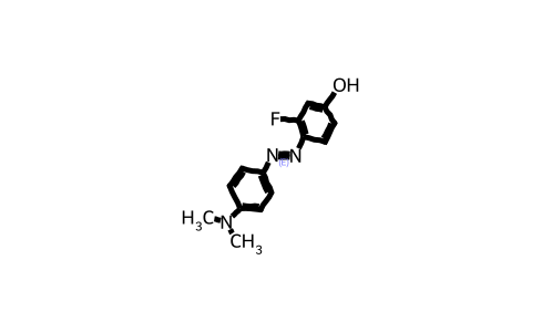 CN(C)c1ccc(/N=N/c2ccc(O)cc2F)cc1